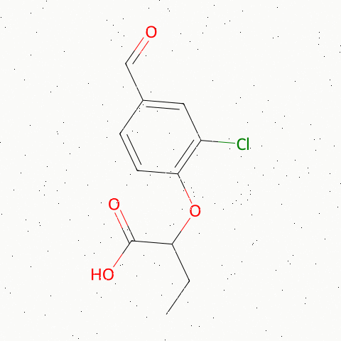 CCC(Oc1ccc(C=O)cc1Cl)C(=O)O